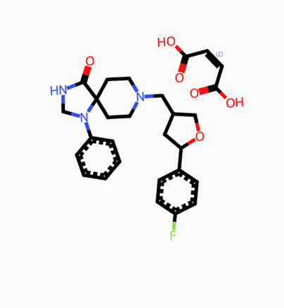 O=C(O)/C=C\C(=O)O.O=C1NCN(c2ccccc2)C12CCN(CC1COC(c3ccc(F)cc3)C1)CC2